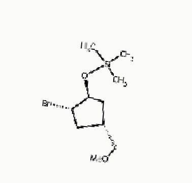 COC[C@H]1C[C@H](O[Si](C)(C)C)[C@@H](Br)C1